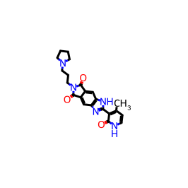 Cc1cc[nH]c(=O)c1-c1nc2cc3c(cc2[nH]1)C(=O)N(CCCN1CCCC1)C3=O